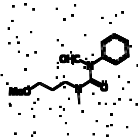 COCCCN(C)C(=O)N(C=O)c1ccccc1